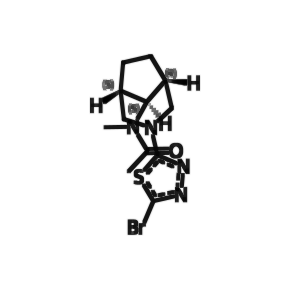 CC(=O)N(C)[C@@H]1[C@@H]2CC[C@H]1CN(c1nnc(Br)s1)C2